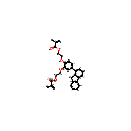 C=C(C)C(=O)OCCOc1ccc(-c2cccc3c2Cc2ccccc2-3)cc1OCCOC(=O)C(=C)C